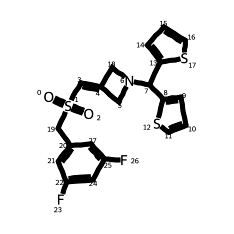 O=S(=O)(C=C1CN(C(c2cccs2)c2cccs2)C1)Cc1cc(F)cc(F)c1